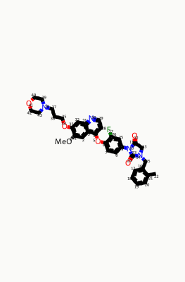 COc1cc2c(Oc3ccc(N4C(=O)CN(Cc5ccccc5C)C4=O)cc3F)ccnc2cc1OCCCN1CCOCC1